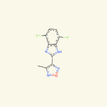 Cc1nonc1-c1nc2c(F)ccc(F)c2[nH]1